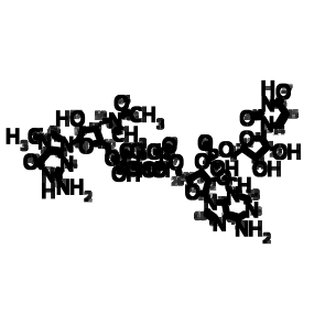 CO[C@@H]1[C@H](OP(=O)(O)OC[C@H]2O[C@@H](n3ccc(=O)[nH]c3=O)[C@H](O)[C@@H]2O)[C@@H](COP(=O)(O)OP(=O)(O)OP(=O)(O)OC[C@H]2O[C@@H](n3c[n+](C)c4c(=O)[nH]c(N)nc43)[C@H](O)[C@@H]2CN(C)C(C)=O)O[C@H]1n1cnc2c(N)ncnc21